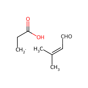 CC(C)=CC=O.[CH2]CC(=O)O